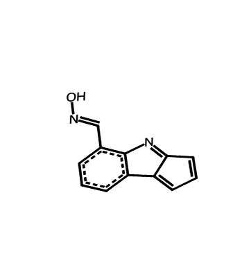 ON=Cc1cccc2c1N=C1C=CC=C12